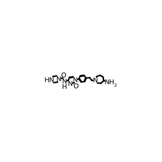 NC1CCCN(CCc2ccc(-n3ccc(NC(=O)N4CCNCC4)nc3=O)cc2)CC1